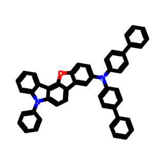 c1ccc(-c2ccc(N(c3ccc(-c4ccccc4)cc3)c3ccc4oc5c(ccc6c5c5ccccc5n6-c5ccccc5)c4c3)cc2)cc1